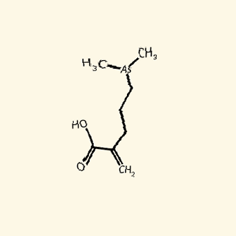 C=C(CCC[As](C)C)C(=O)O